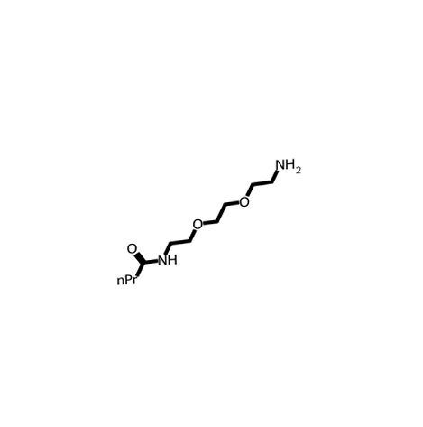 [CH2]CCC(=O)NCCOCCOCCN